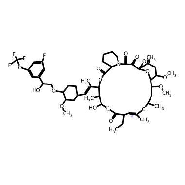 CCC1/C=C(\C)CC(C)CC(OC)C2OC(O)(C(=O)C(=O)N3CCCCC3C(=O)OC(C(C)=CC3CCC(OCC(O)c4cc(F)cc(OC(F)(F)F)c4)C(OC)C3)C(C)C(O)CC1=O)C(C)CC2OC